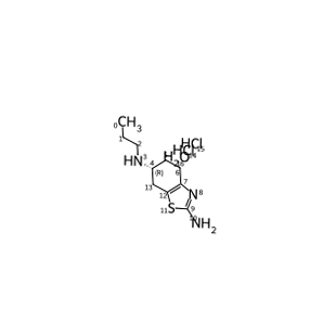 CCCN[C@@H]1CCc2nc(N)sc2C1.Cl.Cl.O